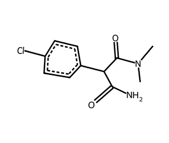 CN(C)C(=O)C(C(N)=O)c1ccc(Cl)cc1